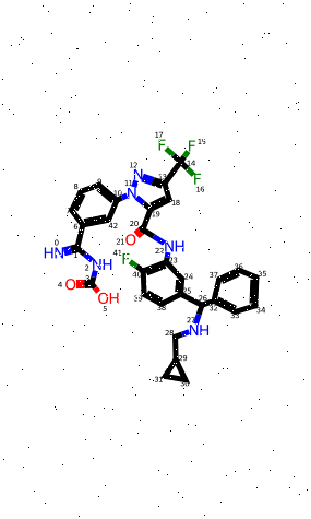 N=C(NC(=O)O)c1cccc(-n2nc(C(F)(F)F)cc2C(=O)Nc2cc(C(NCC3CC3)c3ccccc3)ccc2F)c1